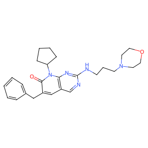 O=c1c(Cc2ccccc2)cc2cnc(NCCCN3CCOCC3)nc2n1C1CCCC1